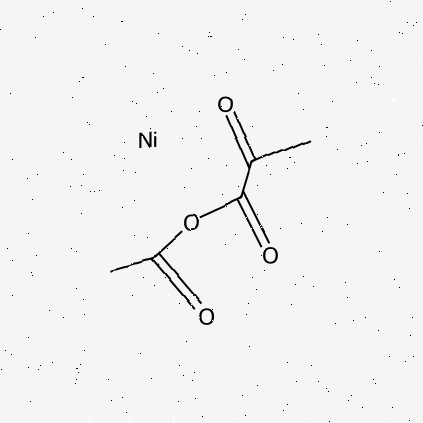 CC(=O)OC(=O)C(C)=O.[Ni]